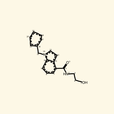 O=C(NCCO)c1cccc2c1ccn2Cc1ccccc1